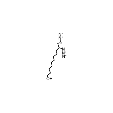 [N-]=[N+]=NCC(CCCCCCCCCO)N=[N+]=[N-]